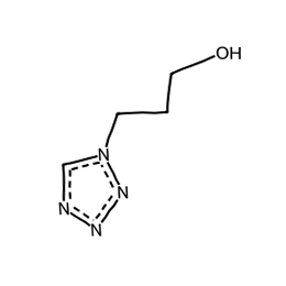 OCCCn1cnnn1